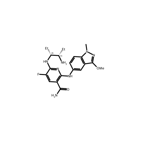 CC[C@H](N)[C@@H](CC)Nc1nc(Nc2ccc3c(c2)c(OC)nn3C)c(C(N)=O)cc1F